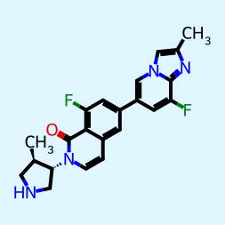 Cc1cn2cc(-c3cc(F)c4c(=O)n([C@@H]5CNC[C@H]5C)ccc4c3)cc(F)c2n1